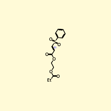 CCC(=O)OCCOC(=O)/C=C/S(=O)(=O)c1ccccc1